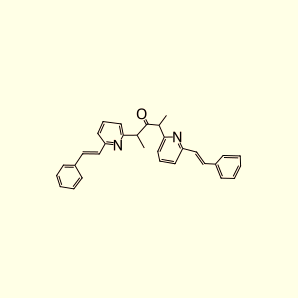 CC(C(=O)C(C)c1cccc(C=Cc2ccccc2)n1)c1cccc(C=Cc2ccccc2)n1